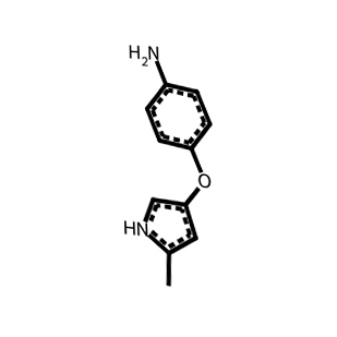 Cc1cc(Oc2ccc(N)cc2)c[nH]1